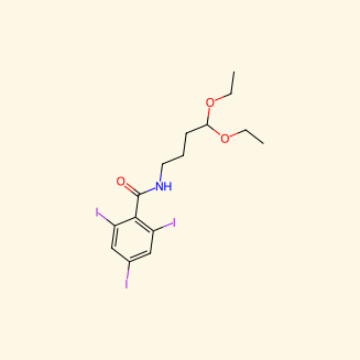 CCOC(CCCNC(=O)c1c(I)cc(I)cc1I)OCC